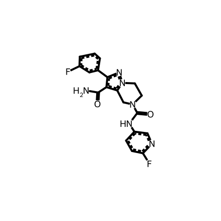 NC(=O)c1c(-c2cccc(F)c2)nn2c1CN(C(=O)Nc1ccc(F)nc1)CC2